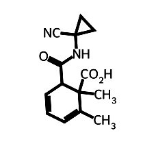 CC1=CC=CC(C(=O)NC2(C#N)CC2)C1(C)C(=O)O